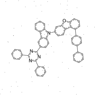 c1ccc(-c2ccc(-c3cccc4oc5cc(-n6c7ccccc7c7cc(-c8nc(-c9ccccc9)nc(-c9ccccc9)n8)ccc76)ccc5c34)cc2)cc1